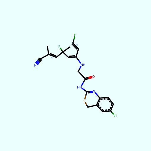 C/C(C#N)=C\C(C)(F)C=C(/C=C/F)NCC(=O)NC1=Nc2ccc(Cl)cc2CS1